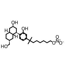 CC(C)(CCCCCCO[N+](=O)[O-])c1ccc([C@@H]2C[C@H](O)C[C@@H]3CC[C@H](CO)C[C@H]32)c(O)c1